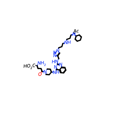 CC(=O)N(CCCNCCCn1cc(CNc2nc(NC3CCN(C(=O)CC[C@H](N)C(=O)O)CC3)c3ccccc3n2)nn1)C1CCCCC1